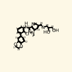 Cn1nc(Nc2cccc(-c3ccc4c(c3)OCCO4)c2Cl)c2ncc(C=NCC(O)CO)cc21